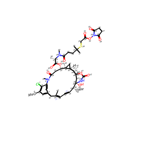 COc1cc2cc(c1Cl)N(C)C(=O)C[C@H](OC(=O)[C@H](C)N(C)C(=O)CCC(C)(C)SCC(=O)ON1C(=O)CCC1=O)[C@@]1(C)C[C@H]1[C@H](C)[C@@H]1C[C@@](O)(NC(=O)O1)[C@H](OC)/C=C/C=C(\C)C2